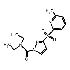 CCN(CC)C(=O)n1ccc(S(=O)(=O)c2cccc(C)n2)n1